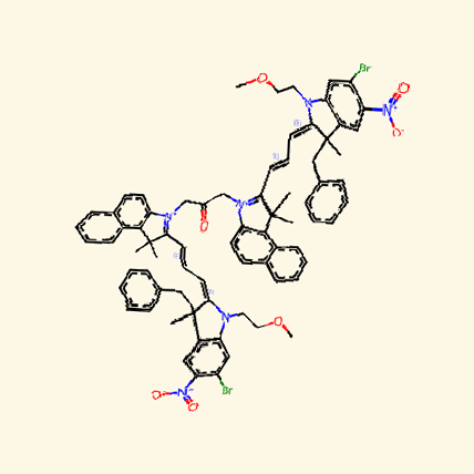 COCCN1/C(=C/C=C/C2=[N+](CC(=O)C[N+]3=C(/C=C/C=C4/N(CCOC)c5cc(Br)c([N+](=O)[O-])cc5C4(C)Cc4ccccc4)C(C)(C)c4c3ccc3ccccc43)c3ccc4ccccc4c3C2(C)C)C(C)(Cc2ccccc2)c2cc([N+](=O)[O-])c(Br)cc21